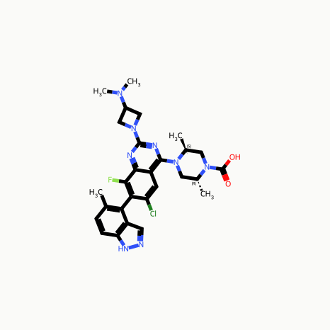 Cc1ccc2[nH]ncc2c1-c1c(Cl)cc2c(N3C[C@@H](C)N(C(=O)O)C[C@@H]3C)nc(N3CC(N(C)C)C3)nc2c1F